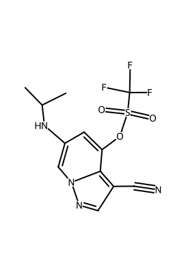 CC(C)Nc1cc(OS(=O)(=O)C(F)(F)F)c2c(C#N)cnn2c1